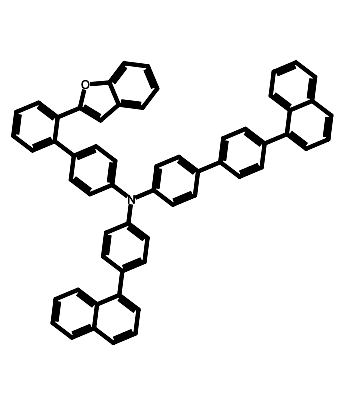 c1ccc(-c2cc3ccccc3o2)c(-c2ccc(N(c3ccc(-c4ccc(-c5cccc6ccccc56)cc4)cc3)c3ccc(-c4cccc5ccccc45)cc3)cc2)c1